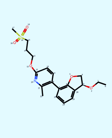 CCO[C@@H]1COc2c(-c3ccc(OCCCS(C)(=O)=O)nc3C)cccc21